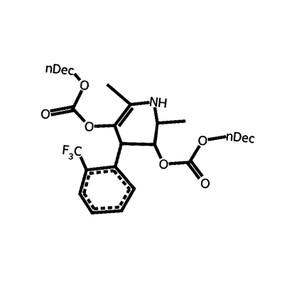 CCCCCCCCCCOC(=O)OC1=C(C)NC(C)C(OC(=O)OCCCCCCCCCC)C1c1ccccc1C(F)(F)F